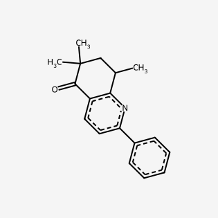 CC1CC(C)(C)C(=O)c2ccc(-c3ccccc3)nc21